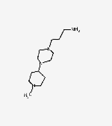 CN1CCC(N2CCN(CCCN)CC2)CC1